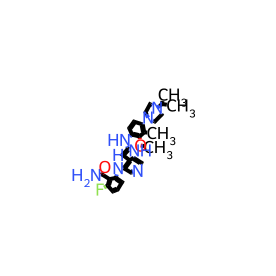 COc1c(Nc2cc3c(Nc4cccc(F)c4C(N)=O)cncc3[nH]2)ccc(N2CCN(C(C)C)CC2)c1C